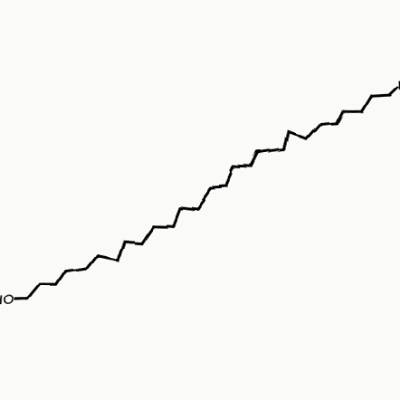 OCCCCCCCCCCCCCCCCCCCCCCCCCCCI